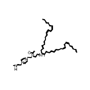 CCCCC/C=C\C/C=C\CCCCCCCCC(CCCCCCCC/C=C\C/C=C\CCCCC)NCCN(CCN1CCN(CCNC)CC1)C(C)=O